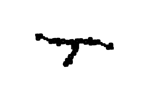 C=CC(=O)OCCCCCCOc1ccc(OC(=O)C2CCC(COc3ccc4c5ccc(OCC6CCC(C(=O)Oc7ccc(OCCCCCCOC(=O)C=C)cc7)CC6)cc5c5nc6cc(OCC7CCC(C(=O)Oc8ccccc8)CC7)ccc6nc5c4c3)CC2)cc1